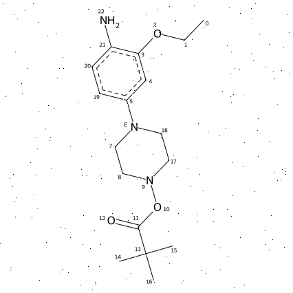 CCOc1cc(N2CCN(OC(=O)C(C)(C)C)CC2)ccc1N